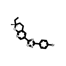 CC[C@]1(C)CCc2cc(-c3nc(-c4ccc(Br)cc4)no3)cnc2O1